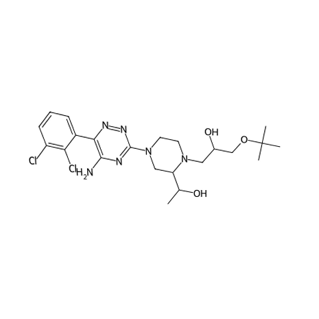 CC(O)C1CN(c2nnc(-c3cccc(Cl)c3Cl)c(N)n2)CCN1CC(O)COC(C)(C)C